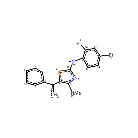 C=C(c1ccccc1)c1sc(Nc2ccc(CC)cc2CC)nc1NC